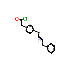 O=C(Cl)Cc1ccc(C/C=C/Cc2ccccc2)cc1